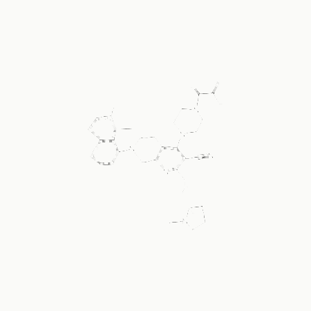 C=C(F)C(=O)N1CCN(c2c(C#N)c(OC[C@@H]3CCCN3C)nc3c2CCN(c2cccc4ccc(F)c(C)c24)C3)CC1